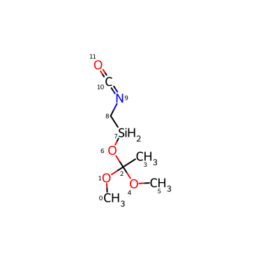 COC(C)(OC)O[SiH2]CN=C=O